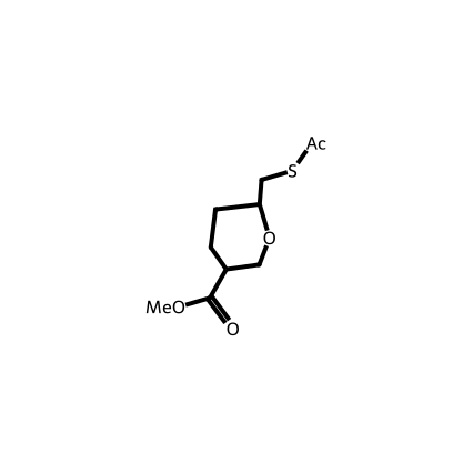 COC(=O)C1CCC(CSC(C)=O)OC1